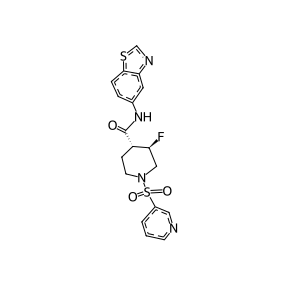 O=C(Nc1ccc2scnc2c1)[C@H]1CCN(S(=O)(=O)c2cccnc2)C[C@@H]1F